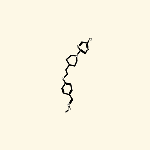 CON=Cc1ccc(OCCC2CCN(c3cnc(Cl)cn3)CC2)cc1